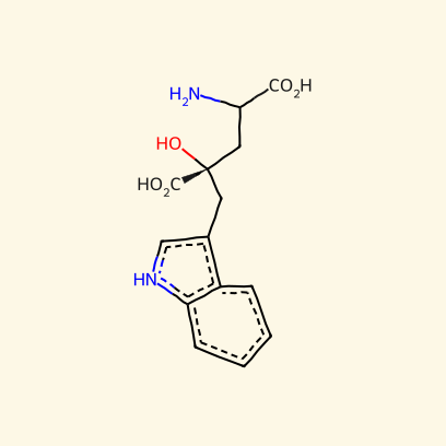 NC(C[C@@](O)(Cc1c[nH]c2ccccc12)C(=O)O)C(=O)O